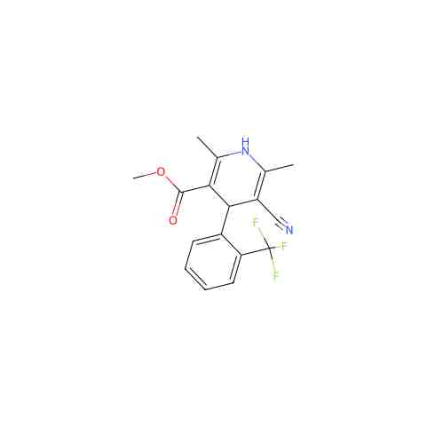 COC(=O)C1=C(C)NC(C)=C(C#N)C1c1ccccc1C(F)(F)F